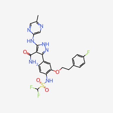 Cc1cnc(Nc2[nH]nc(-c3ccc(NS(=O)(=O)C(F)F)c(OCCc4ccc(F)cc4)c3)c2C(N)=O)cn1